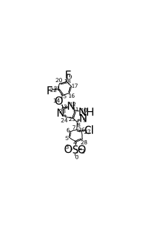 CS(=O)(=O)c1ccc(-c2n[nH]c3nc(Oc4ccc(F)cc4F)ncc23)c(Cl)c1